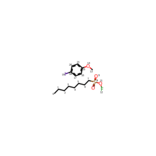 CCCCCCCCS(=O)(=O)OF.COc1ccc(I)cc1